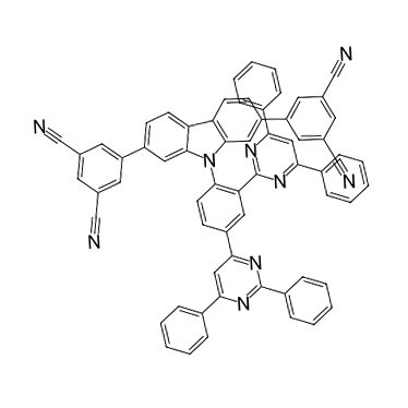 N#Cc1cc(C#N)cc(-c2ccc3c4ccc(-c5cc(C#N)cc(C#N)c5)cc4n(-c4ccc(-c5cc(-c6ccccc6)nc(-c6ccccc6)n5)cc4-c4nc(-c5ccccc5)cc(-c5ccccc5)n4)c3c2)c1